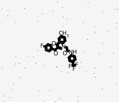 Cc1ccc2c(c1)c(=O)c(C(=O)c1ccc(F)cc1)cn2CC(=O)Nc1ccc(C(F)(F)F)cc1